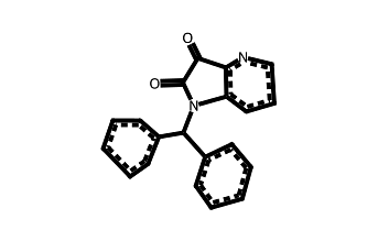 O=C1C(=O)N(C(c2ccccc2)c2ccccc2)c2cccnc21